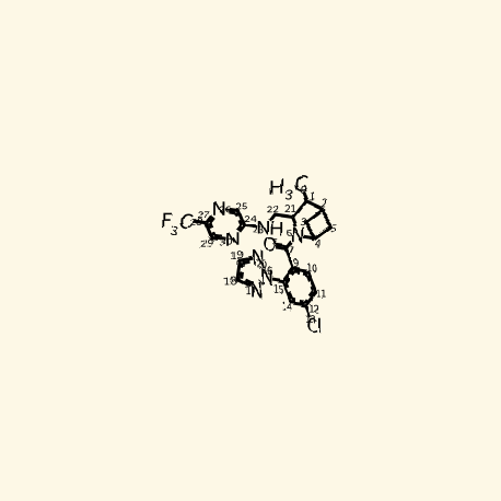 CC1C2CC(C2)N(C(=O)c2ccc(Cl)cc2-n2nccn2)C1CNc1cnc(C(F)(F)F)cn1